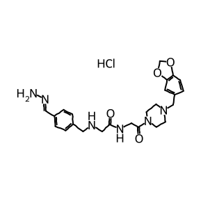 Cl.NN=Cc1ccc(CNCC(=O)NCC(=O)N2CCN(Cc3ccc4c(c3)OCO4)CC2)cc1